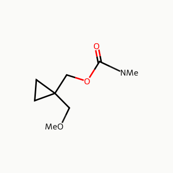 CNC(=O)OCC1(COC)CC1